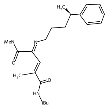 CCC(C)NC(=O)/C(C)=C/C(=N\CCC[C@@H](C)c1ccccc1)C(=O)NC